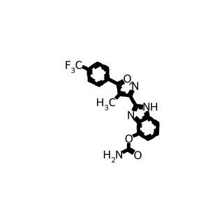 Cc1c(-c2nc3c(OC(N)=O)cccc3[nH]2)noc1-c1ccc(C(F)(F)F)cc1